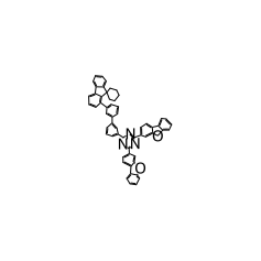 c1cc(-c2cccc(-c3cccc4c3C3(CCCCC3)c3ccccc3-4)c2)cc(-c2nc(-c3ccc4c(c3)oc3ccccc34)nc(-c3ccc4c(c3)oc3ccccc34)n2)c1